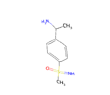 CC(N)c1ccc(S(C)(=N)=O)cc1